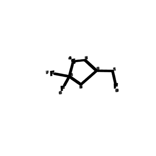 FCC1CSC(F)(F)C1